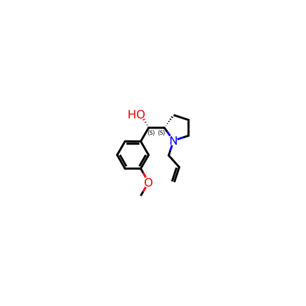 C=CCN1CCC[C@H]1[C@@H](O)c1cccc(OC)c1